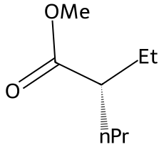 CCC[C@@H](CC)C(=O)OC